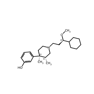 CO[C@H](CCN1CC[C@](C)(c2cccc(O)c2)[C@@H](C)C1)C1CCCCC1